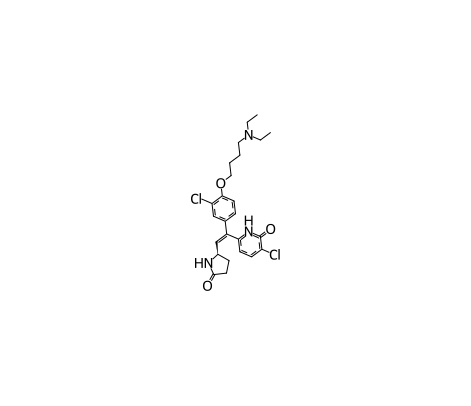 CCN(CC)CCCCOc1ccc(C(=C[C@H]2CCC(=O)N2)c2ccc(Cl)c(=O)[nH]2)cc1Cl